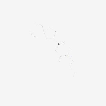 C=C(NC(=O)N1CCC2(CCOCC2)C1)/C(N)=C\CCC